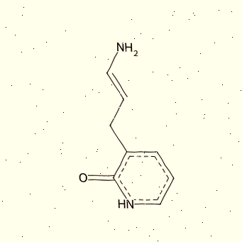 NC=CCc1ccc[nH]c1=O